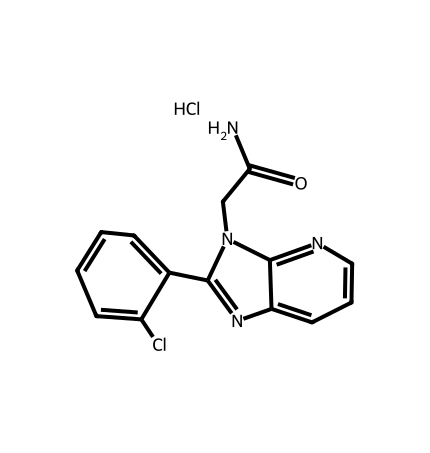 Cl.NC(=O)Cn1c(-c2ccccc2Cl)nc2cccnc21